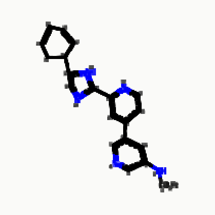 CCOC(=O)Nc1cncc(-c2ccnc(-c3ncc(C4C=CC=CC4)[nH]3)c2)c1